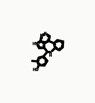 Cc1cc(C2Nc3ccccc3-c3cnnc4[nH]cc2c34)ccc1O